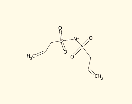 C=CCS(=O)(=O)[N+]S(=O)(=O)CC=C